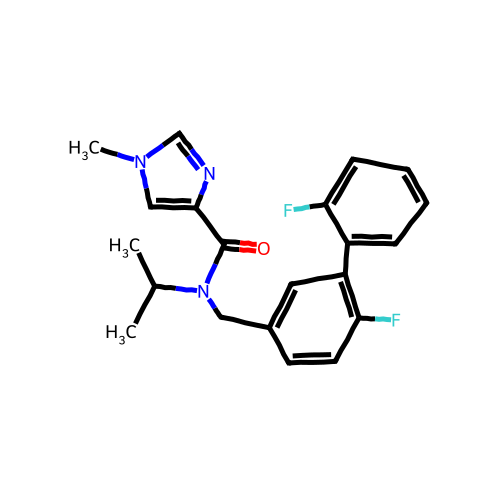 CC(C)N(Cc1ccc(F)c(-c2ccccc2F)c1)C(=O)c1cn(C)cn1